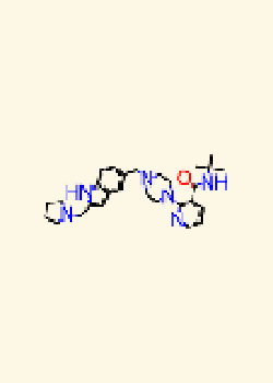 CC(C)(C)NC(=O)c1cccnc1N1CCN(Cc2ccc3[nH]c(CN4CCCC4)cc3c2)CC1